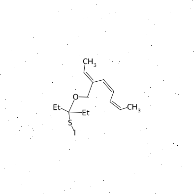 C\C=C/C=C\C(=C/C)COC(CC)(CC)SI